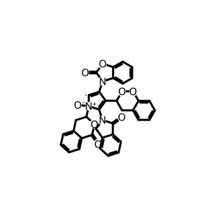 O=C1OC([N+]2([O-])[C]=C(n3c(=O)oc4ccccc43)C(C3Cc4ccccc4OO3)=C2N2Cc3ccccc3C2=O)Cc2ccccc21